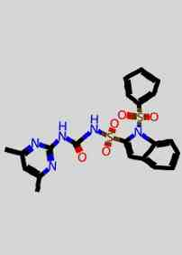 Cc1cc(C)nc(NC(=O)NS(=O)(=O)c2cc3ccccc3n2S(=O)(=O)c2ccccc2)n1